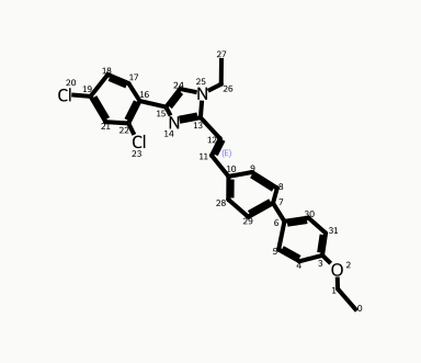 CCOc1ccc(-c2ccc(/C=C/c3nc(-c4ccc(Cl)cc4Cl)cn3CC)cc2)cc1